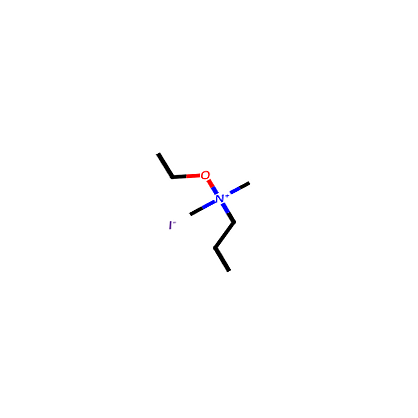 CCC[N+](C)(C)OCC.[I-]